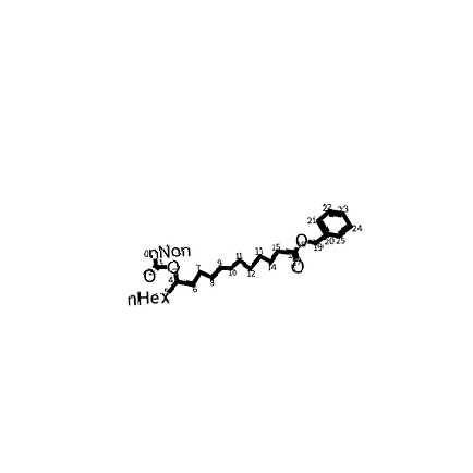 CCCCCCCCCC(=O)OC(CCCCCC)CCCCCCCCCCC(=O)OCc1ccccc1